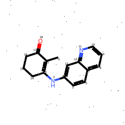 CC1=C(Nc2ccc3cccnc3c2)CCCC1=O